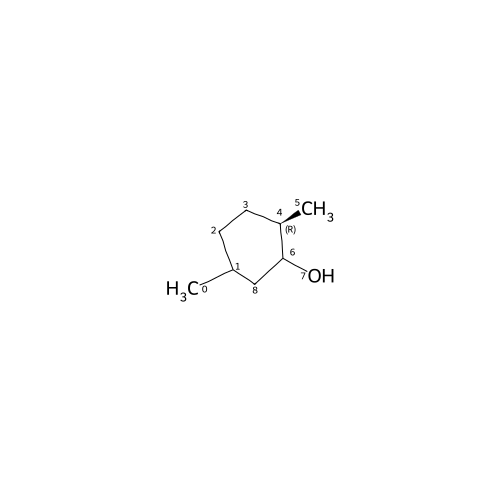 CC1CC[C@@H](C)C(O)C1